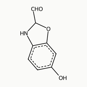 O=CC1Nc2ccc(O)cc2O1